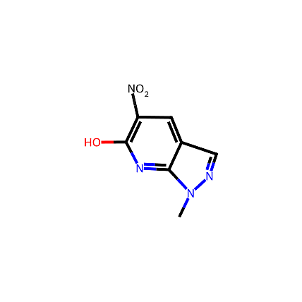 Cn1ncc2cc([N+](=O)[O-])c(O)nc21